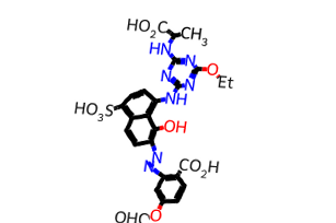 CCOc1nc(Nc2ccc(S(=O)(=O)O)c3ccc(N=Nc4cc(OC=O)ccc4C(=O)O)c(O)c23)nc(NC(C)C(=O)O)n1